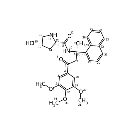 COc1cc(C(=O)C[C@@](C)(NC(=O)[C@@H]2CCCN2)c2cccc3ccccc23)cc(OC)c1OC.Cl